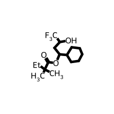 CCC(C)(C)C(=O)OC(CC(O)C(F)(F)F)C1CCCCC1